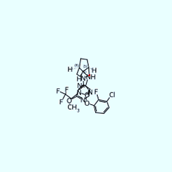 COc1cc(N2C[C@H]3CC[C@@H](C2)[C@@H]3Nc2nc(Oc3cccc(Cl)c3F)n(CC(F)(F)F)n2)ccn1